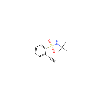 C#Cc1ccccc1S(=O)(=O)NC(C)(C)C